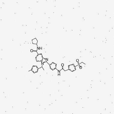 CCS(=O)(=O)c1ccc(CC(=O)Nc2ccc(-c3nc4cc(C(=O)NC5CCCC5)ccc4n3C(C)c3ccc(C)cc3)cc2)cc1